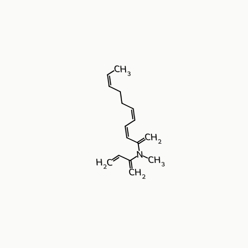 C=CC(=C)N(C)C(=C)/C=C\C=C/CC/C=C\C